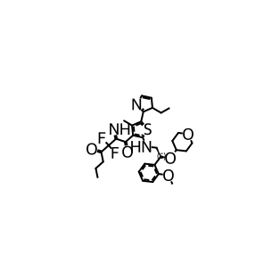 CCCC(=O)C(F)(F)C(=N)C(=O)c1c(NC[C@@H](OC2CCOCC2)c2ccccc2OC)sc(C2=NC=CC2CC)c1C